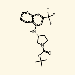 CC(C)(C)OC(=O)N1CC[C@@H](Nc2cc(C(F)(F)F)cc3ncccc23)C1